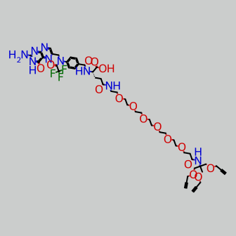 C#CCOCC(COCC#C)(COCC#C)NC(=O)CCOCCOCCOCCOCCOCCOCCNC(=O)CC[C@H](NC(=O)c1ccc(N(Cc2cnc3nc(N)[nH]c(=O)c3n2)C(=O)C(F)(F)F)cc1)C(=O)O